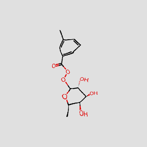 Cc1cccc(C(=O)OOC2O[C@H](C)[C@H](O)[C@H](O)[C@H]2O)c1